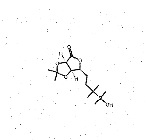 CC1(C)O[C@@H]2[C@H](CCC(C)(C)[Si](C)(C)O)OC(=O)[C@@H]2O1